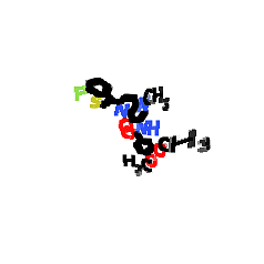 COc1ccc(C(=O)Nc2cn(C)c3ccc(-c4csc5c(F)cccc45)nc3c2=O)cc1OC